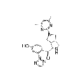 Cc1cc(C)nc(N2CC3CNC(C(=O)c4ccc(O)cc4-n4nccn4)C3C2)n1